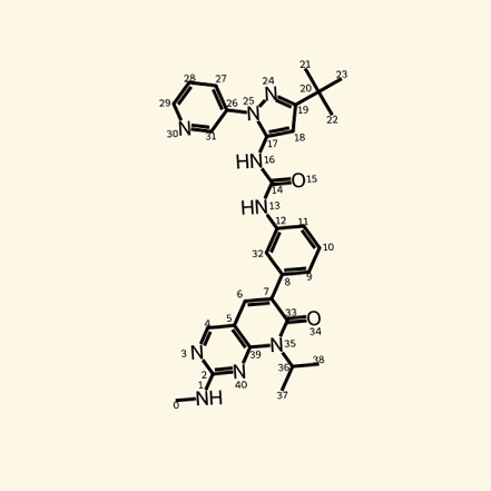 CNc1ncc2cc(-c3cccc(NC(=O)Nc4cc(C(C)(C)C)nn4-c4cccnc4)c3)c(=O)n(C(C)C)c2n1